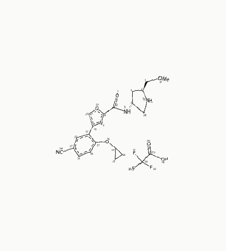 COC[C@@H]1C[C@@H](NC(=O)c2nc(-c3cc(C#N)ccc3OC3CC3)co2)CN1.O=C(O)C(F)(F)F